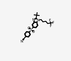 CC(C)(C)c1nc2cc(S(=O)(=O)c3ccc(C#N)cc3)ccc2n1CCCCC(F)(F)F